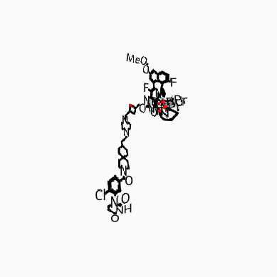 COCOc1cc(-c2ncc3c(N4CC5CCC(C4)N5C(=O)OC(C)(C)C)nc(OCC45CC(CN6CCN(CCC7CCC8(CC7)CCN(C(=O)c7ccc(Cl)c(N9CCC(=O)NC9=O)c7)CC8)CC6)(C4)C5)nc3c2F)c2c(C#C[Si](C(C)C)(C(C)C)C(C)C)c(F)ccc2c1